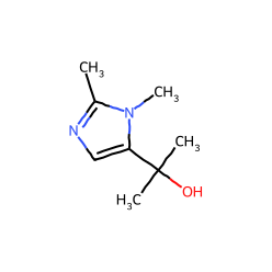 Cc1ncc(C(C)(C)O)n1C